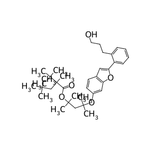 CC(C)(C)CC(C)(C(=O)OC(C)(C)CC(C)(C)Oc1ccc2cc(-c3ccccc3CCCO)oc2c1)C(C)(C)C